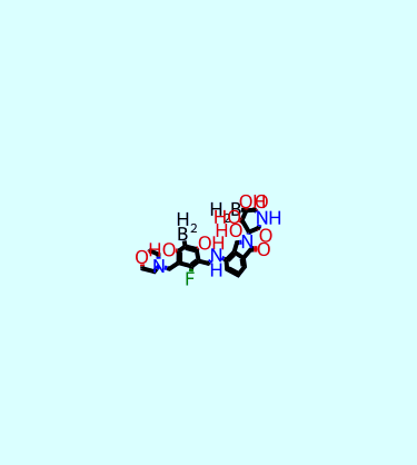 Bc1c(O)c(CNc2cccc3c2CN(C2C(=O)NC(=O)C(B)(O)C2(O)O)C3=O)c(F)c(CN2CCOCC2)c1O